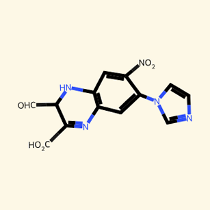 O=CC1Nc2cc([N+](=O)[O-])c(-n3ccnc3)cc2N=C1C(=O)O